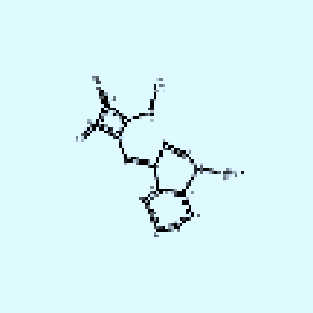 CCCCCCN1C=C/C(=C\c2c(OCC)c(=O)c2=O)c2ccccc21